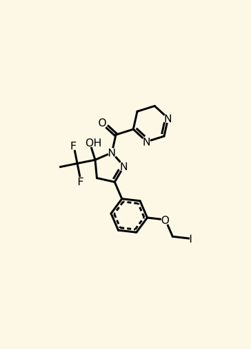 CC(F)(F)C1(O)CC(c2cccc(OCI)c2)=NN1C(=O)C1=NC=NCC1